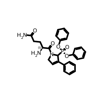 NC(=O)CC[C@H](N)C(=O)N1CC=C(c2ccccc2)C1P(=O)(Oc1ccccc1)Oc1ccccc1